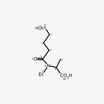 CCCCCCCCCCCC(=O)N(CC)C(C)C(=O)O